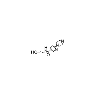 CN1CCN(c2ccc(C(=O)NCCCO)cn2)CC1